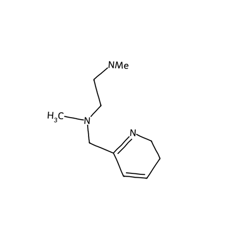 CNCCN(C)CC1=NCCC=C1